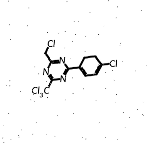 ClCc1nc(C2=CC=C(Cl)CC2)nc(C(Cl)(Cl)Cl)n1